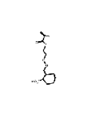 C=C(C)C(=O)OCCOOCC1CCCCC1C(=O)O